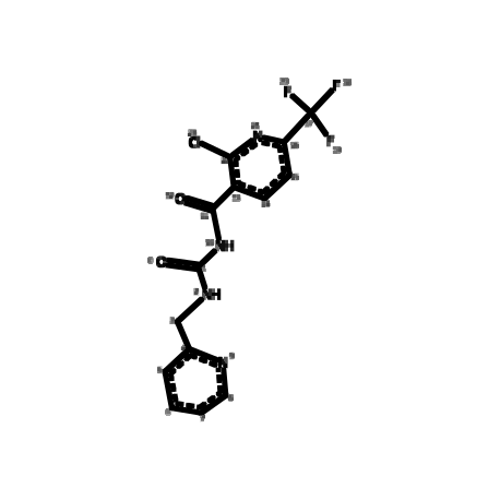 O=C(NCc1ccccn1)NC(=O)c1ccc(C(F)(F)F)nc1Cl